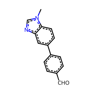 Cn1cnc2cc(-c3ccc(C=O)cc3)ccc21